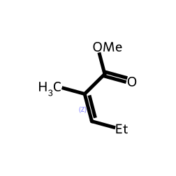 CC/C=C(/C)C(=O)OC